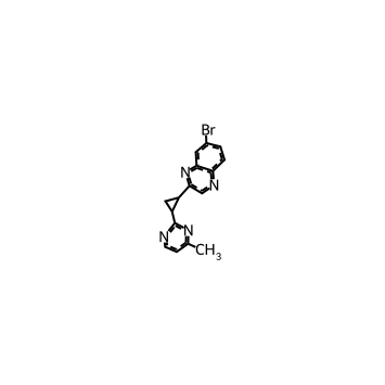 Cc1ccnc(C2CC2c2cnc3ccc(Br)cc3n2)n1